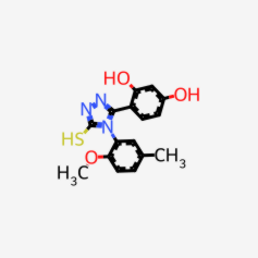 COc1ccc(C)cc1-n1c(S)nnc1-c1ccc(O)cc1O